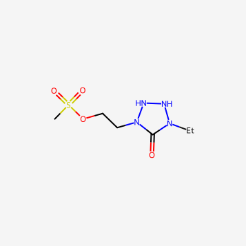 CCN1NNN(CCOS(C)(=O)=O)C1=O